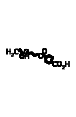 C=CC(O)OCCCCOC(=O)C1CCC(C(=O)O)CC1